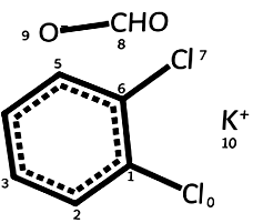 Clc1ccccc1Cl.O=C[O-].[K+]